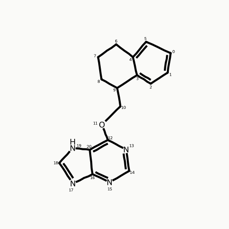 c1ccc2c(c1)CCCC2COc1ncnc2nc[nH]c12